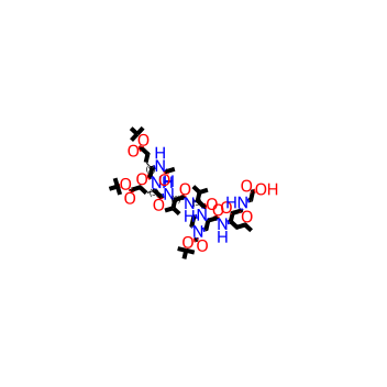 CCCC(NC(=O)C1CN(C(=O)OC(C)(C)C)CCN1C(=O)[C@@H](NC(=O)[C@@H](NC(=O)[C@H](CCC(=O)OC(C)(C)C)NC(=O)[C@H](CCC(=O)OC(C)(C)C)NC(C)=O)C(C)C)C(C)C)C(=O)C(=O)NCC(=O)O